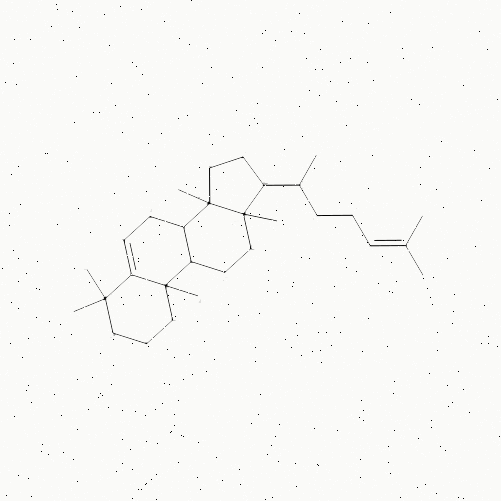 CC(C)=CCCC(C)C1CCC2(C)C3CC=C4C(C)(C)CCCC4(C)C3CCC12C